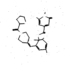 CC1C=C(Cl)C=C(C=C2CCN(C(=O)C3CCCO3)CC2)C1(C)NC(=O)c1cc(C#N)n(C)c(=O)c1